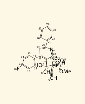 C#CC(C(=O)O)([PH](=O)OC)C(C)(O)c1c(-c2ccc(F)cc2)cc(-c2ccccc2)nc1C(C)(C)C